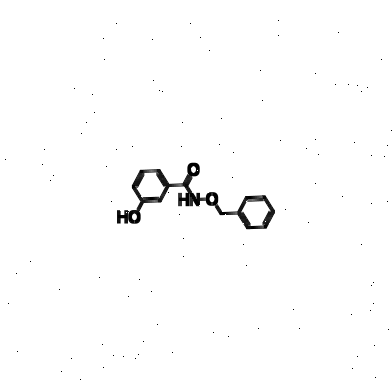 O=C(NOCc1ccccc1)c1cccc(O)c1